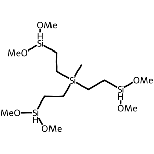 CO[SiH](CC[Si](C)(CC[SiH](OC)OC)CC[SiH](OC)OC)OC